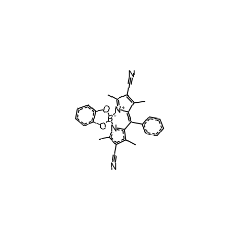 CC1=C(C#N)C(C)=[N+]2C1=C(c1ccccc1)c1c(C)c(C#N)c(C)n1[B-]21Oc2ccccc2O1